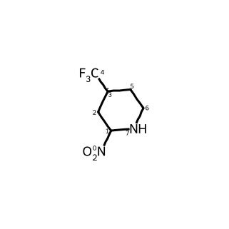 O=[N+]([O-])C1C[C](C(F)(F)F)CCN1